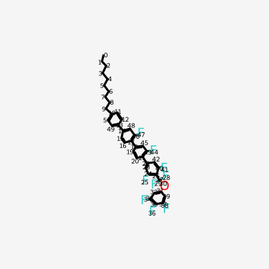 CCCCCCCCCCc1ccc(-c2ccc(-c3ccc(-c4cc(F)c(C(F)(F)Oc5cc(F)c(F)c(F)c5)c(F)c4)c(F)c3)c(F)c2)cc1